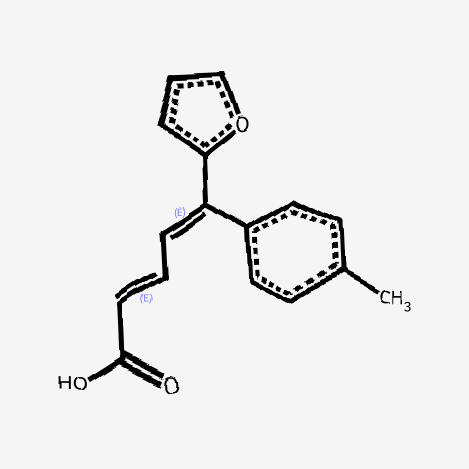 Cc1ccc(/C(=C\C=C\C(=O)O)c2ccco2)cc1